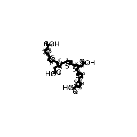 O=C(O)Cc1cc(-c2ccc(-c3cc(CC(=O)O)c(-c4ccc(-c5ccc(C(=O)O)s5)s4)s3)s2)sc1-c1ccc(-c2ccc(C(=O)O)s2)s1